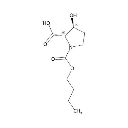 CCCCOC(=O)N1CC[C@H](O)[C@H]1C(=O)O